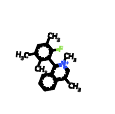 Cc1cc(C)c(F)c(-c2c3ccccc3c(C)c[n+]2C)c1C